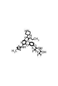 CCNC(=O)C(Sc1cnc(Nc2nc(C)cs2)c(Oc2ccccc2)c1)C1CCNCC1.O=C(O)C(F)(F)F.O=C(O)C(F)(F)F